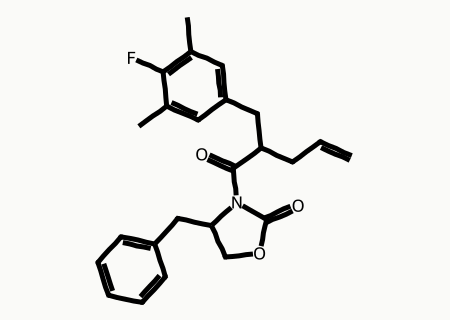 C=CCC(Cc1cc(C)c(F)c(C)c1)C(=O)N1C(=O)OCC1Cc1ccccc1